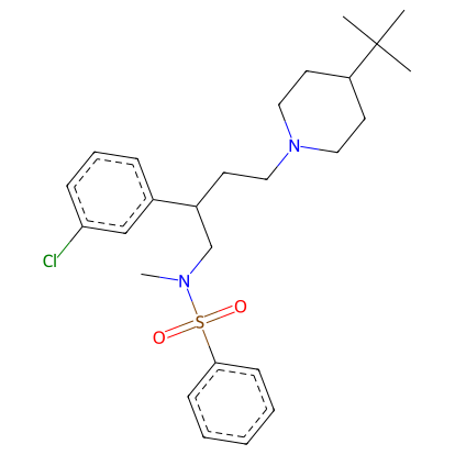 CN(CC(CCN1CCC(C(C)(C)C)CC1)c1cccc(Cl)c1)S(=O)(=O)c1ccccc1